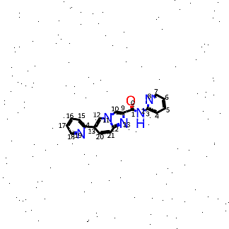 O=C(Nc1ccccn1)c1cn2cc(-c3ccccn3)ccc2n1